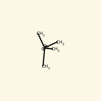 CCCCCCCCCCCCCCCCCC(=O)C(CCCCCCCC)(CCCCCCCCCCCCCCCC)C(=O)OCCCCCCCCCCCC